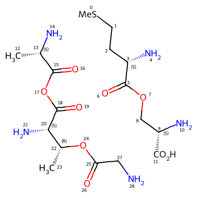 CSCC[C@H](N)C(=O)OC[C@H](N)C(=O)O.C[C@H](N)C(=O)OC(=O)[C@@H](N)[C@@H](C)OC(=O)CN